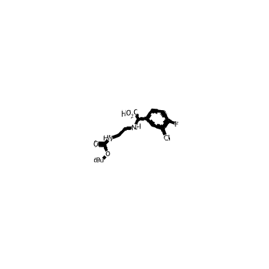 CC(C)(C)OC(=O)NCCNC(C(=O)O)c1ccc(F)c(Cl)c1